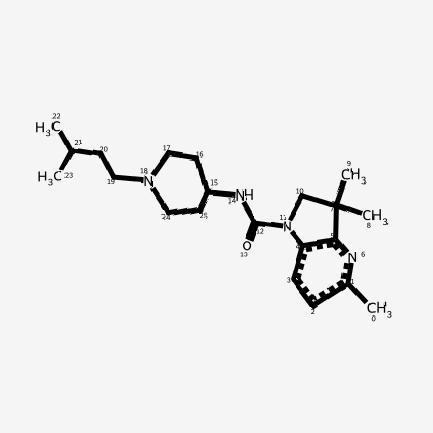 Cc1ccc2c(n1)C(C)(C)CN2C(=O)NC1CCN(CCC(C)C)CC1